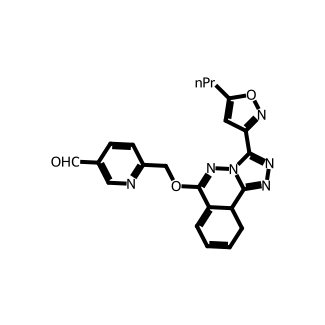 CCCc1cc(-c2nnc3n2N=C(OCc2ccc(C=O)cn2)C2=CC=CCC23)no1